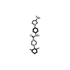 Cc1cccc(C)c1N1CCN(C(=O)Nc2ccc(N3CCC(N(C)C)C3)cc2)CC1